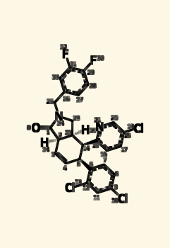 O=C1[C@@H]2C=C[C@H](c3ccc(Cl)cc3Cl)[C@H](c3ccc(Cl)cn3)[C@@H]2CN1Cc1ccc(F)c(F)c1